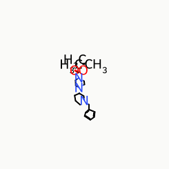 CC(C)(C)OC(=O)N1CCN(C2CCCN(Cc3ccccc3)C2)CC1